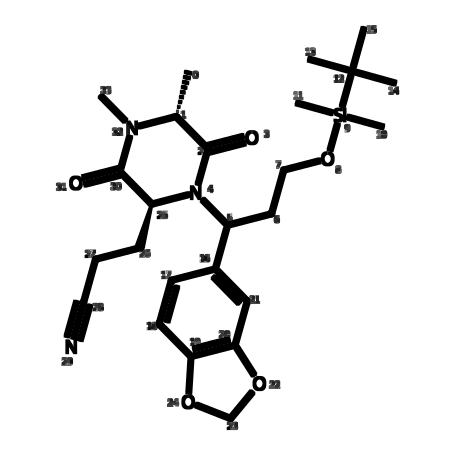 C[C@@H]1C(=O)N(C(CCO[Si](C)(C)C(C)(C)C)c2ccc3c(c2)OCO3)[C@@H](CCC#N)C(=O)N1C